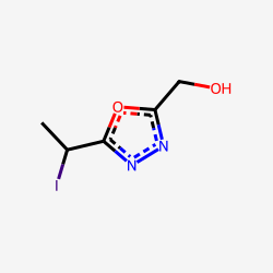 CC(I)c1nnc(CO)o1